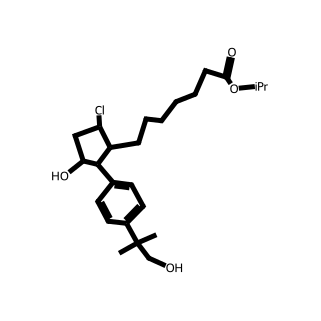 CC(C)OC(=O)CCCCCCC1C(Cl)CC(O)C1c1ccc(C(C)(C)CO)cc1